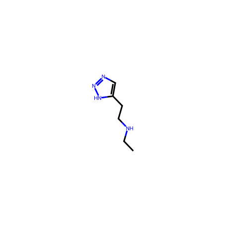 CCNCCc1cnn[nH]1